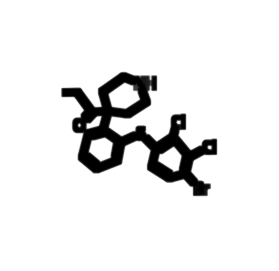 CCC(=O)C1(c2ccccc2Sc2ccc(Br)c(Cl)c2Cl)CCNCC1